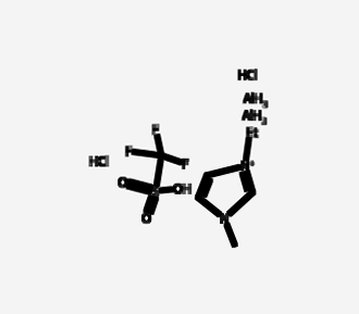 CC[n+]1ccn(C)c1.Cl.Cl.O=S(=O)(O)C(F)(F)F.[AlH3].[AlH3]